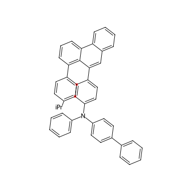 CC(C)c1ccc(-c2cccc3c2c(-c2ccc(N(c4ccccc4)c4ccc(-c5ccccc5)cc4)cc2)cc2ccccc23)cc1